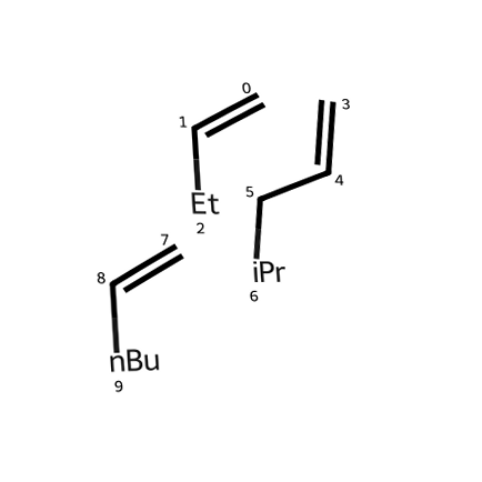 C=CCC.C=CCC(C)C.C=CCCCC